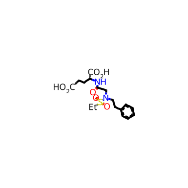 CCS(=O)(=O)N(CCc1ccccc1)CC(=O)N[C@@H](CCC(=O)O)C(=O)O